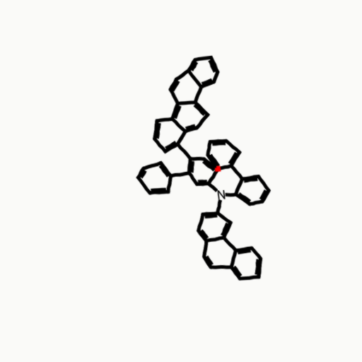 c1ccc(-c2cc(N(c3ccc4ccc5ccccc5c4c3)c3ccccc3-c3ccccc3)ccc2-c2cccc3c2ccc2c4ccccc4ccc32)cc1